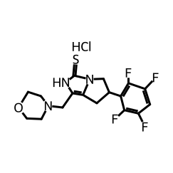 Cl.Fc1cc(F)c(F)c(C2Cc3c(CN4CCOCC4)[nH]c(=S)n3C2)c1F